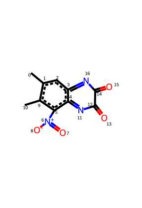 Cc1cc2c(c([N+](=O)[O-])c1C)=NC(=O)C(=O)N=2